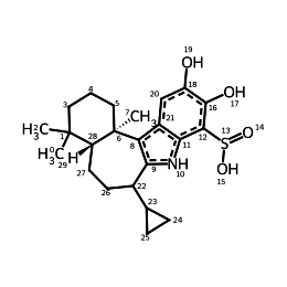 CC1(C)CCC[C@@]2(C)c3c([nH]c4c(S(=O)O)c(O)c(O)cc34)C(C3CC3)CC[C@H]12